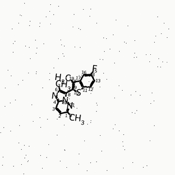 Cc1ccc2nc(C)c(-c3sc4ccc(F)cc4c3C)n2n1